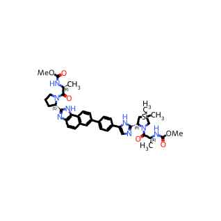 COC(=O)N[C@H](C)C(=O)N1C[Si](C)(C)C[C@H]1c1ncc(-c2ccc(-c3ccc4c(ccc5nc([C@@H]6CCCN6C(=O)[C@@H](C)NC(=O)OC)[nH]c54)c3)cc2)[nH]1